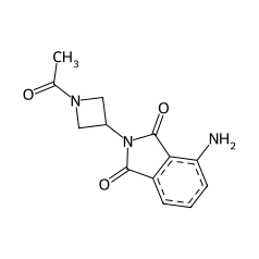 CC(=O)N1CC(N2C(=O)c3cccc(N)c3C2=O)C1